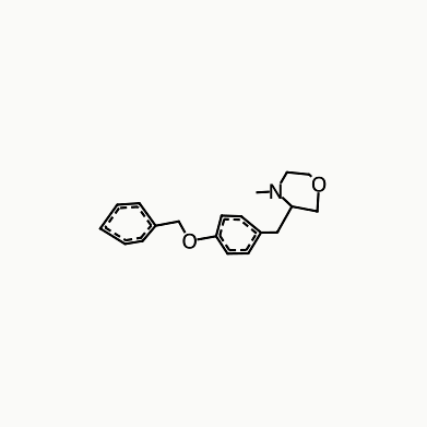 CN1CCOCC1Cc1ccc(OCc2ccccc2)cc1